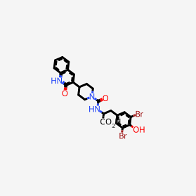 O=C(O)C(Cc1cc(Br)c(O)c(Br)c1)NC(=O)N1CCC(c2cc3ccccc3[nH]c2=O)CC1